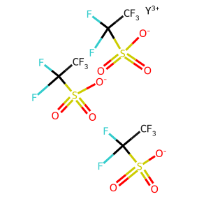 O=S(=O)([O-])C(F)(F)C(F)(F)F.O=S(=O)([O-])C(F)(F)C(F)(F)F.O=S(=O)([O-])C(F)(F)C(F)(F)F.[Y+3]